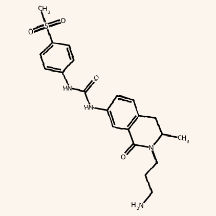 CC1Cc2ccc(NC(=O)Nc3ccc(S(C)(=O)=O)cc3)cc2C(=O)N1CCCN